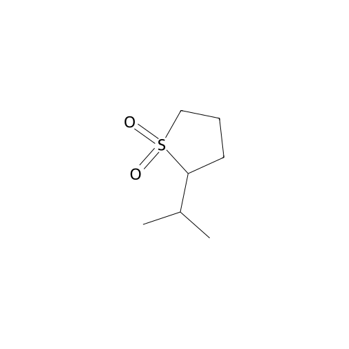 CC(C)C1CCCS1(=O)=O